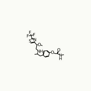 CNC(=O)COc1ccc(CC(C)NCC(OC)c2csc(C(F)(F)F)n2)cc1